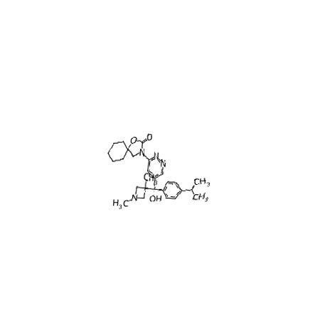 CC(C)c1ccc([C@](O)(c2cnnc(N3CC4(CCCCC4)OC3=O)c2)C2(C)CN(C)C2)cc1